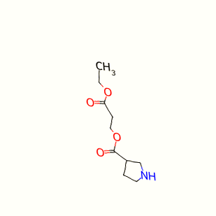 CCOC(=O)CCOC(=O)C1CCNC1